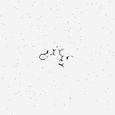 CCNC(=O)OC(CC(C(C)C)N(C)C(=O)C(NC(=O)[C@]1(C)CCCCN1C)C(C)CC)c1nc(C(=O)O)cs1